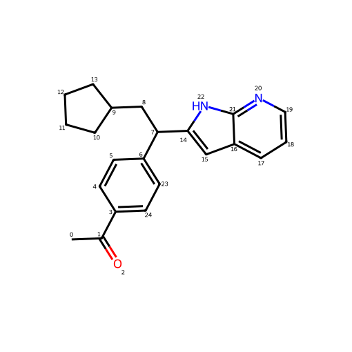 CC(=O)c1ccc(C(CC2CCCC2)c2cc3cccnc3[nH]2)cc1